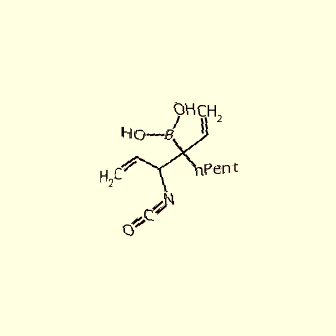 C=CC(N=C=O)C(C=C)(CCCCC)B(O)O